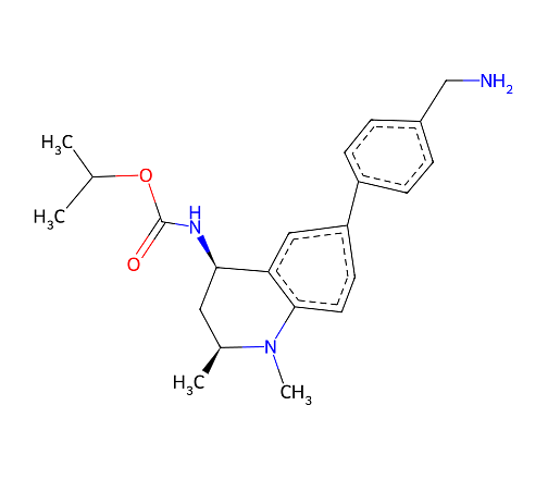 CC(C)OC(=O)N[C@@H]1C[C@H](C)N(C)c2ccc(-c3ccc(CN)cc3)cc21